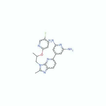 Cc1nc2ccc(-c3cc(N)nc(N)c3)nc2n1CC(C)Oc1ccc(F)cn1